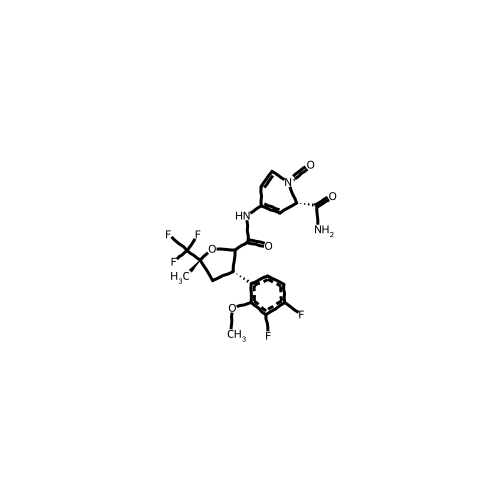 COc1c([C@@H]2C[C@](C)(C(F)(F)F)OC2C(=O)NC2=C[C@@H](C(N)=O)[N+](=O)C=C2)ccc(F)c1F